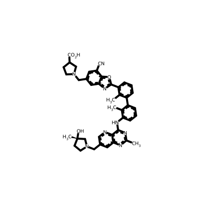 Cc1nc(Nc2cccc(-c3cccc(-c4nc5cc(CN6CCC(C(=O)O)C6)cc(C#N)c5o4)c3C)c2C)c2ncc(CN3CC[C@](C)(O)C3)cc2n1